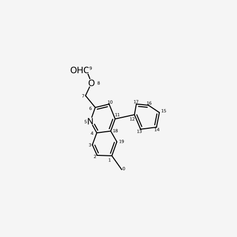 Cc1ccc2nc(COC=O)cc(-c3ccccc3)c2c1